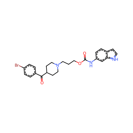 O=C(Nc1ccc2cc[nH]c2c1)OCCCN1CCC(C(=O)c2ccc(Br)cc2)CC1